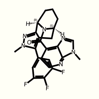 Cn1nc2c(c1-c1cc(F)c(F)c(F)c1)C[C@@H]1CCC[C@H]2N1C(=O)c1ccnc2c1ncn2C